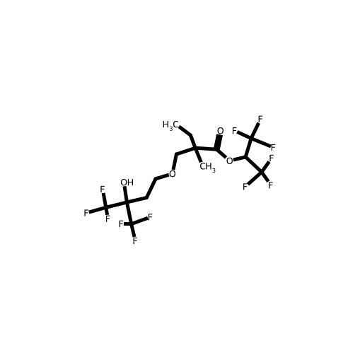 CCC(C)(COCCC(O)(C(F)(F)F)C(F)(F)F)C(=O)OC(C(F)(F)F)C(F)(F)F